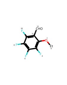 CCOc1c(F)c(F)c(F)c(F)c1C=O